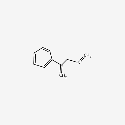 C=NCC(=C)c1ccccc1